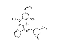 COc1cc(O)c([C@H](CC(=O)N2CC(C)C[C@@H](C)C2)c2ccc3ccccc3n2)c(OC)c1